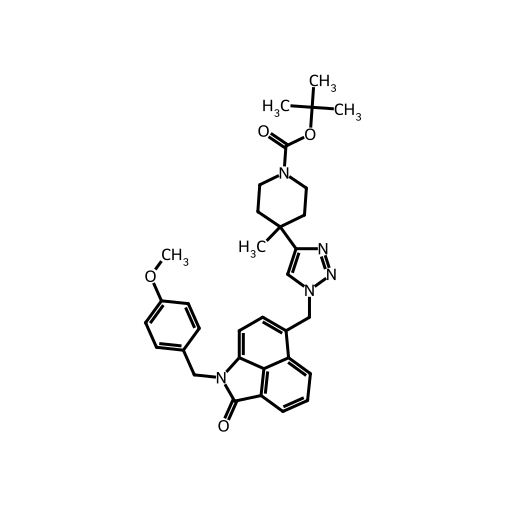 COc1ccc(CN2C(=O)c3cccc4c(Cn5cc(C6(C)CCN(C(=O)OC(C)(C)C)CC6)nn5)ccc2c34)cc1